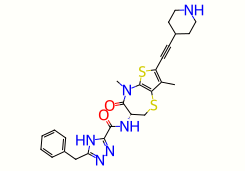 Cc1c(C#CC2CCNCC2)sc2c1SC[C@H](NC(=O)c1nnc(Cc3ccccc3)[nH]1)C(=O)N2C